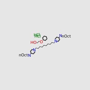 CCCCCCCCN=c1ccn(CCCCCCCCCCn2ccc(=NCCCCCCCC)cc2)cc1.Cl.Cl.OCCOc1ccccc1